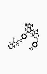 COc1ccc(CN2CCC(Nc3c(Cl)c(-c4ccc(OCC(=O)Nc5ncccn5)cc4)nc4[nH]cnc34)CC2)cc1